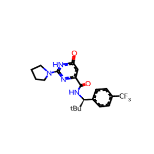 CC(C)(C)[C@@H](NC(=O)c1cc(=O)[nH]c(N2CCCC2)n1)c1ccc(C(F)(F)F)cc1